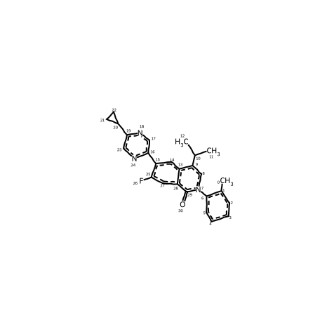 Cc1ccccc1-n1cc(C(C)C)c2cc(-c3cnc(C4CC4)cn3)c(F)cc2c1=O